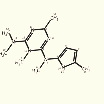 Cc1ccc(N(C)C2=NC(C)N=C(N(C)C)N2C)[nH]1